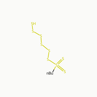 CCCCS(=S)(=S)SSSSSS